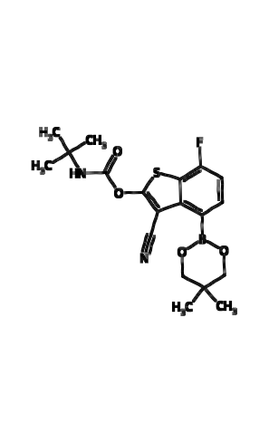 CC1(C)COB(c2ccc(F)c3sc(OC(=O)NC(C)(C)C)c(C#N)c23)OC1